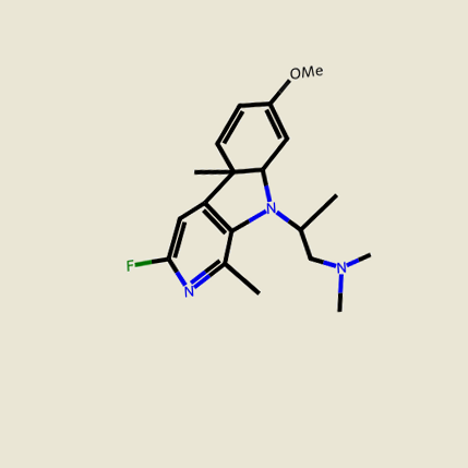 COC1=CC2N(C(C)CN(C)C)c3c(cc(F)nc3C)C2(C)C=C1